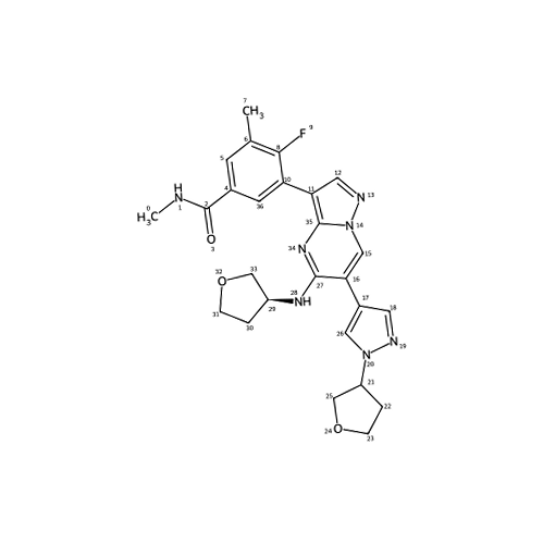 CNC(=O)c1cc(C)c(F)c(-c2cnn3cc(-c4cnn(C5CCOC5)c4)c(N[C@H]4CCOC4)nc23)c1